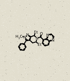 CCC1Cc2c(nn(C)c2-c2ccccc2)C(CC)N1C(=O)c1cccc2nccnc12